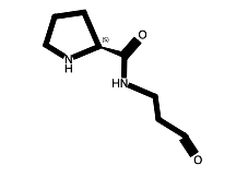 O=[C]CCNC(=O)[C@@H]1CCCN1